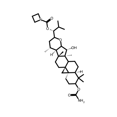 CC(C)[C@@H](OC(=O)N1CCC1)C1C[C@@H](C)[C@H]2C(O1)[C@H](O)[C@@]1(C)C3CC[C@H]4C(C)(C)C(OC(N)=O)CC[C@@]45C[C@@]35CC[C@]21C